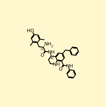 Cc1cc(O)cc(C)c1C[C@H](N)C(=O)N[C@@H]1CCNc2c(C(=O)Nc3ccccc3)cc(Cc3ccccc3)cc21